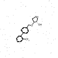 O[C@H]1CNC[C@@H]1OCc1ccc(-c2ccccc2C(F)(F)F)cc1